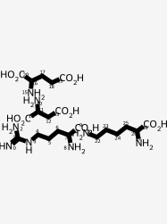 N=C(N)NCCCC(N)C(=O)O.NC(CC(=O)O)C(=O)O.NC(CCC(=O)O)C(=O)O.NCCCCC(N)C(=O)O